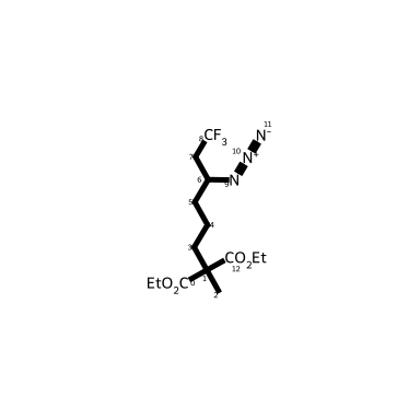 CCOC(=O)C(C)(CCCC(CC(F)(F)F)N=[N+]=[N-])C(=O)OCC